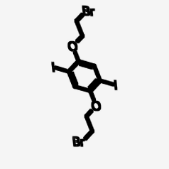 BrCCOc1cc(I)c(OCCBr)cc1I